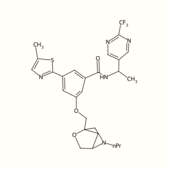 CCCN1CC2(COc3cc(C(=O)NC(C)c4cnc(C(F)(F)F)nc4)cc(-c4ncc(C)s4)c3)CC1CO2